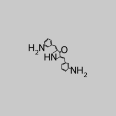 Nc1cccc(C=C2CNCC(=Cc3cccc(N)c3)C2=O)c1